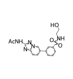 CC(=O)Nc1nc2ccc(-c3cccc(S(=O)(=O)NCCO)c3)cn2n1